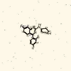 Fc1ccc(-c2nc(N[C@@H]3CCNC3)nc3cc(F)ccc23)c(F)c1